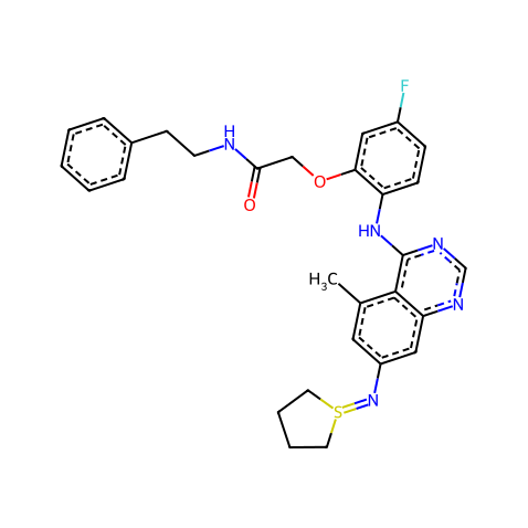 Cc1cc(N=S2CCCC2)cc2ncnc(Nc3ccc(F)cc3OCC(=O)NCCc3ccccc3)c12